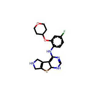 Fc1ccc(NC2=C3C4=C(CNC4)SC3NC=N2)c(OC2CCOCC2)c1